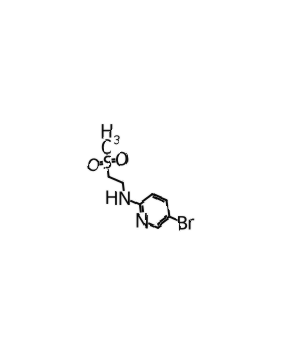 CS(=O)(=O)CCNc1ccc(Br)cn1